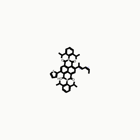 C/C=C\C=C(/C)c1cc2c3c(c(-c4cccs4)cc4c3c1C(=O)N(c1c(C(C)C)cccc1C(C)C)C4=O)C(O)N(c1c(C(C)C)cccc1C(C)C)C2=O